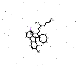 C=CCCC(C)CCC(C)C1(C2C3C=C(I)C=CC3C3C=CC(CCCC)=CC32)CCCCCC1